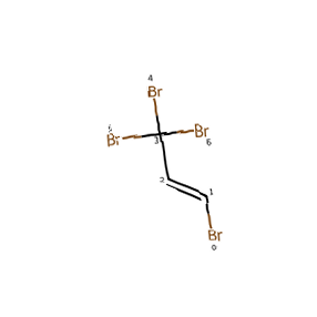 BrC=CC(Br)(Br)Br